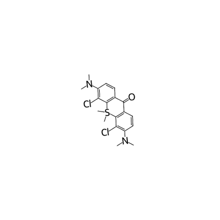 CN(C)c1ccc2c(c1Cl)S(C)(C)c1c(ccc(N(C)C)c1Cl)C2=O